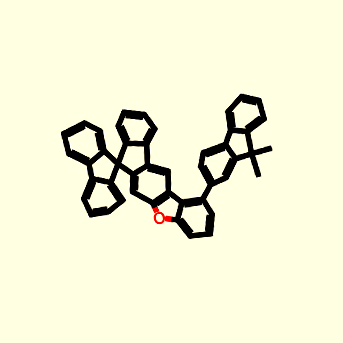 CC1(C)c2ccccc2-c2ccc(-c3cccc4oc5cc6c(cc5c34)-c3ccccc3C63c4ccccc4-c4ccccc43)cc21